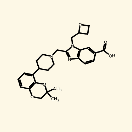 CC1(C)COc2cccc(C3CCN(Cc4nc5ccc(C(=O)O)cc5n4CC4CCO4)CC3)c2O1